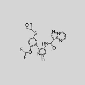 O=C(Nc1c[nH]nc1-c1cc(SC2COC2)ccc1OC(F)F)c1cnn2cccnc12